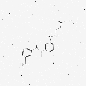 NCc1cccc(C(=O)Nc2cccc(C(=O)NCCC(=O)O)c2)c1